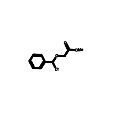 CCC(OCC(=O)OC)c1ccccc1